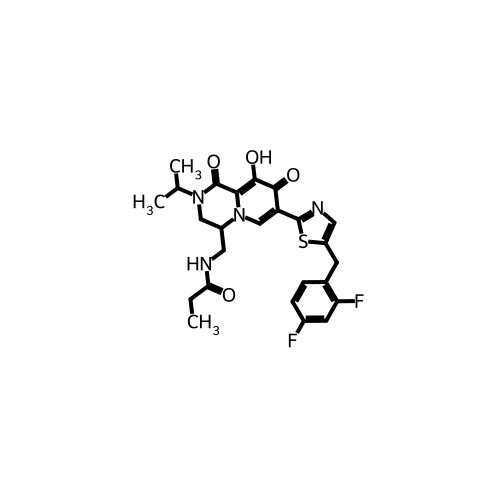 CCC(=O)NCC1CN(C(C)C)C(=O)c2c(O)c(=O)c(-c3ncc(Cc4ccc(F)cc4F)s3)cn21